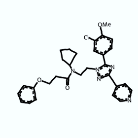 COc1ccc(-c2nc(-c3ccncc3)nn2CCN(C(=O)CCOc2ccccc2)C2CCCC2)cc1Cl